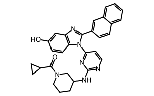 O=C(C1CC1)N1CCCC(Nc2nccc(-n3c(-c4ccc5ccccc5c4)nc4cc(O)ccc43)n2)C1